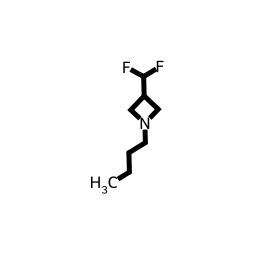 CCCCN1CC(C(F)F)C1